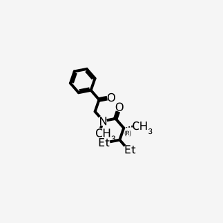 CCC(CC)[C@@H](C)C(=O)N(C)CC(=O)c1ccccc1